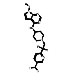 FC(F)c1ccc(C(F)(F)CN2CCC(Nc3ncnc4c3ccn4SI)CC2)nc1